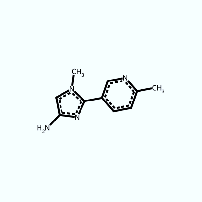 Cc1ccc(-c2nc(N)cn2C)cn1